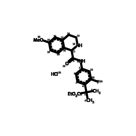 CCOC(=O)C(C)(C)c1ccc(NC(=O)C2NCCc3cc(OC)ccc32)cc1F.Cl